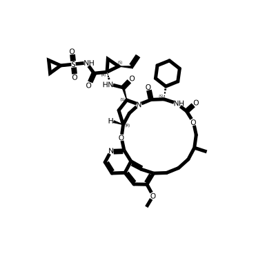 C=C[C@@H]1C[C@]1(NC(=O)[C@@H]1C[C@@H]2CN1C(=O)[C@H](C1CCCCC1)NC(=O)OCC(C)CCCc1cc3c(nccc3cc1OC)O2)C(=O)NS(=O)(=O)C1CC1